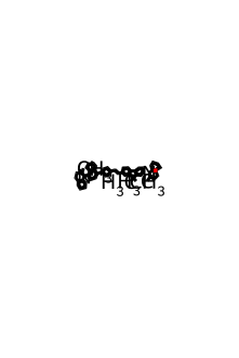 CC1CCc2ccccc2N1c1ccc2c(c1)C(C)(C)c1cc(/C=C/c3ccc(-c4ccc(N5c6ccccc6CCC5C)c5ccccc45)cc3)ccc1-2